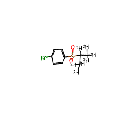 [2H]C([2H])([2H])C([2H])(C([2H])([2H])[2H])S(=O)(=O)c1ccc(Br)cc1